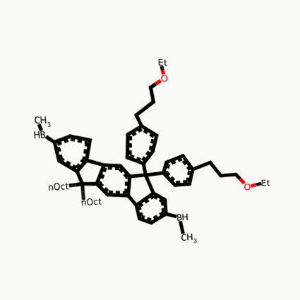 CBc1ccc2c(c1)C(CCCCCCCC)(CCCCCCCC)c1cc3c(cc1-2)C(c1ccc(CCCOCC)cc1)(c1ccc(CCCOCC)cc1)c1cc(BC)ccc1-3